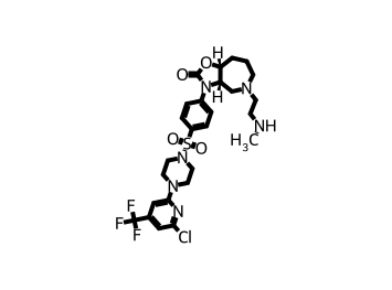 CNCCN1CCC[C@H]2OC(=O)N(c3ccc(S(=O)(=O)N4CCN(c5cc(C(F)(F)F)cc(Cl)n5)CC4)cc3)[C@H]2C1